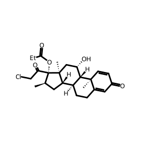 CCC(=O)O[C@@]1(C(=O)CCl)[C@H](C)C[C@H]2[C@@H]3CCC4=CC(=O)C=C[C@]4(C)[C@H]3[C@@H](O)C[C@@]21C